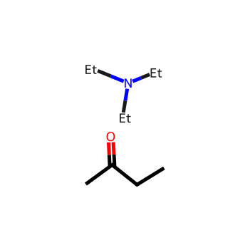 CCC(C)=O.CCN(CC)CC